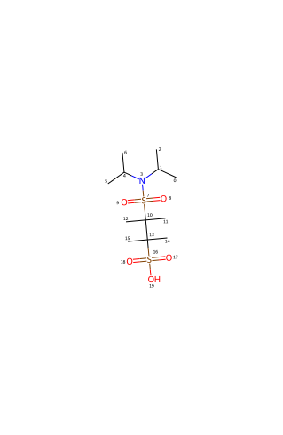 CC(C)N(C(C)C)S(=O)(=O)C(C)(C)C(C)(C)S(=O)(=O)O